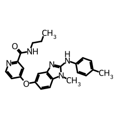 CCCNC(=O)c1cc(Oc2ccc3c(c2)nc(Nc2ccc(C)cc2)n3C)ccn1